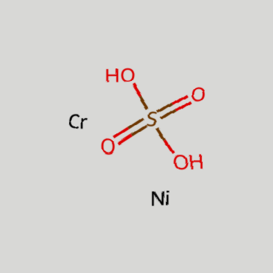 O=S(=O)(O)O.[Cr].[Ni]